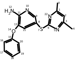 Cc1cc(C)nc(Sc2cnc(N)c(Oc3ccccc3)c2)n1